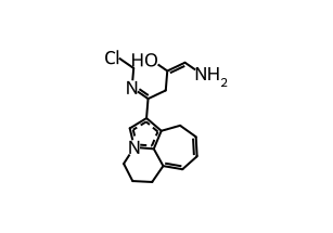 N/C=C(/O)C/C(=N\CCl)c1cn2c3c1CC=CC=C3CCC2